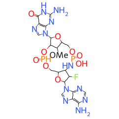 COC1C2COP(=O)(O)NC3C(CO[PH](=O)OC1C(n1cnc4c(=O)[nH]c(N)nc41)O2)OC(n1cnc2c(N)ncnc21)C3F